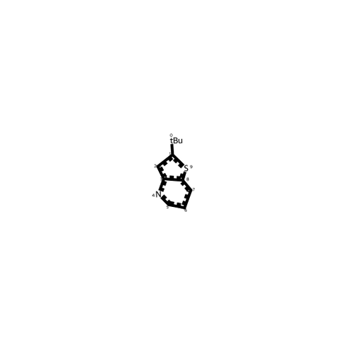 CC(C)(C)c1cc2ncccc2s1